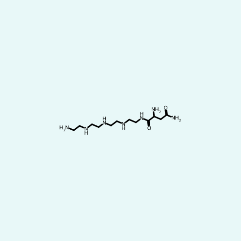 NCCNCCNCCNCCNC(=O)C(N)CC(N)=O